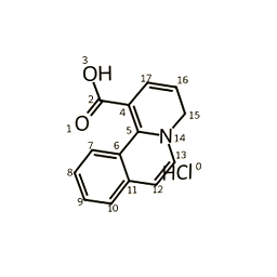 Cl.O=C(O)C1=C2c3ccccc3C=CN2CC=C1